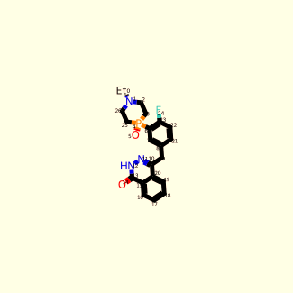 CCN1CCP(=O)(c2cc(Cc3n[nH]c(=O)c4ccccc34)ccc2F)CC1